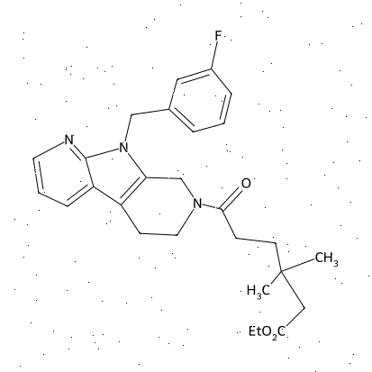 CCOC(=O)CC(C)(C)CCC(=O)N1CCc2c(n(Cc3cccc(F)c3)c3ncccc23)C1